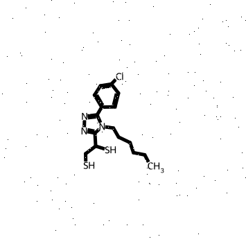 CCCCCCn1c(-c2ccc(Cl)cc2)nnc1C(S)CS